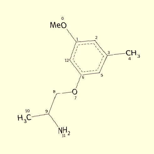 COc1cc(C)cc(OCC(C)N)c1